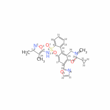 Cc1noc(NS(=O)(=O)c2ccccc2-c2ccc(-c3ncco3)cc2CN(C)C(=O)C2CC2)c1C